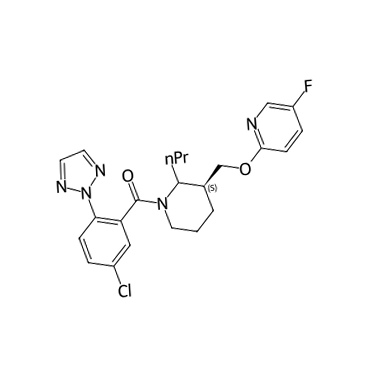 CCCC1[C@@H](COc2ccc(F)cn2)CCCN1C(=O)c1cc(Cl)ccc1-n1nccn1